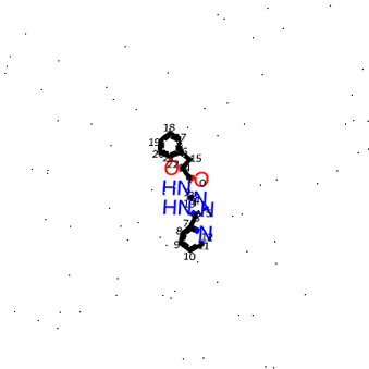 O=C(Nc1nnc(-c2ccccn2)[nH]1)C1Cc2ccccc2O1